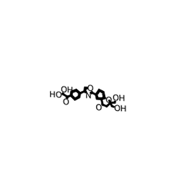 O=C1CC(CO)(CO)Oc2ccc(-c3nc(-c4ccc(C(=O)C(O)O)cc4)co3)cc21